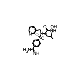 CC(C)C[C@H](C(=O)NO)N(Cc1cccnc1)S(=O)(=O)c1ccc(C(=N)N)cc1